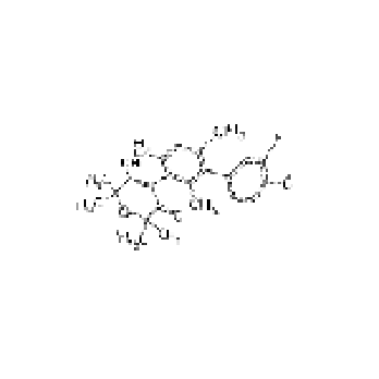 Cc1cc(C)c(-c2ccc(Cl)c(F)c2)c(C)c1C1=C(O)C(C)(C)OC(C)(C)C1=O